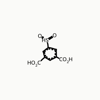 O=C(O)c1cc(C(=O)O)cc([SH](=O)=O)c1